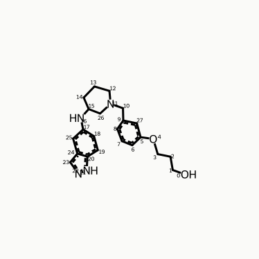 OCCCOc1cccc(CN2CCCC(Nc3ccc4[nH]ncc4c3)C2)c1